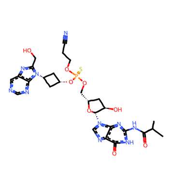 CC(C)C(=O)Nc1nc2c(ncn2[C@@H]2O[C@H](COP(=S)(OCCC#N)O[C@H]3C[C@@H](n4c(CO)nc5cncnc54)C3)C[C@H]2O)c(=O)[nH]1